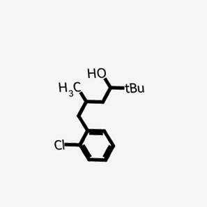 CC(Cc1ccccc1Cl)CC(O)C(C)(C)C